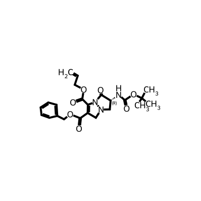 C=CCOC(=O)C1=C(C(=O)OCc2ccccc2)CN2C[C@@H](NC(=O)OC(C)(C)C)C(=O)N12